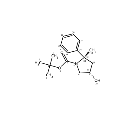 CC(C)(C)OC(=O)N1C[C@@H](O)C[C@@]1(C)c1ccccc1